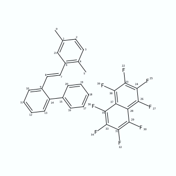 Cc1ccc(C)c(C=Cc2ccccc2-c2ccccc2)c1.Fc1c(F)c(F)c2c(F)c(F)c(F)c(F)c2c1F